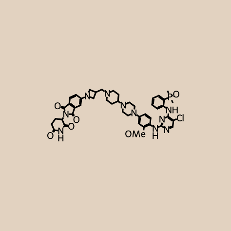 COc1cc(N2CCN(C3CCN(CC4CN(c5ccc6c(c5)C(=O)N(C5CCC(=O)NC5=O)C6=O)C4)CC3)CC2)ccc1Nc1ncc(Cl)c(Nc2ccccc2P(C)(C)=O)n1